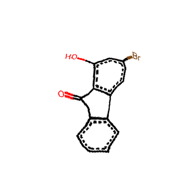 O=C1c2ccccc2-c2cc(Br)cc(O)c21